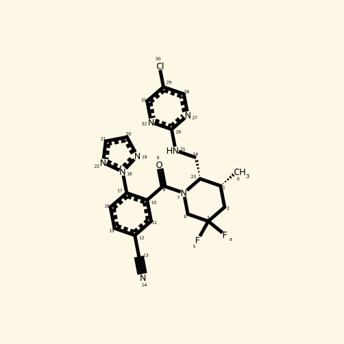 C[C@@H]1CC(F)(F)CN(C(=O)c2cc(C#N)ccc2-n2nccn2)[C@@H]1CNc1ncc(Cl)cn1